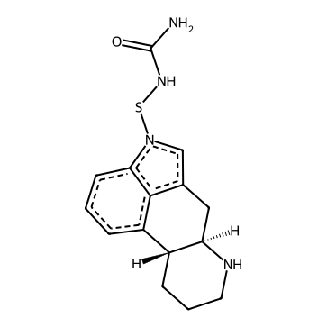 NC(=O)NSn1cc2c3c(cccc31)[C@H]1CCCN[C@@H]1C2